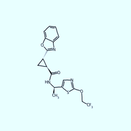 C[C@@H](NC(=O)[C@H]1C[C@@H]1c1nc2ccccc2o1)c1cnc(OCC(F)(F)F)s1